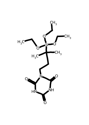 CCO[Si](OCC)(OCC)C(C)(C)CCn1c(=O)[nH]c(=O)[nH]c1=O